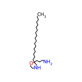 CCCCCCCCCCCCCCCCCCC1(CCCN)CNCCO1